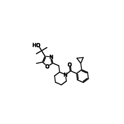 Cc1oc(CC2CCCCN2C(=O)c2ccccc2C2CC2)nc1C(C)(C)O